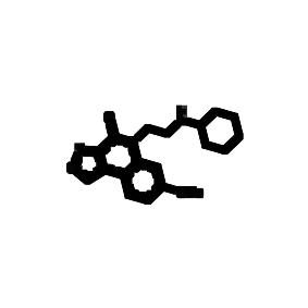 COc1ccc2c3conc3c(=O)n(CCNC3CCCCC3)c2c1